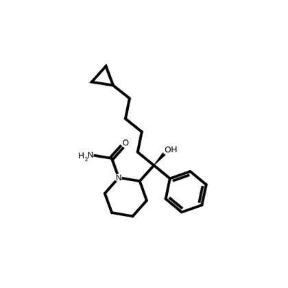 NC(=O)N1CCCCC1[C@](O)(CCCCC1CC1)c1ccccc1